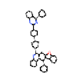 c1ccc(-c2nc(-c3ccc(-c4ccc(-c5nc6ccccc6c6c(-c7ccccc7)c7c(cc56)oc5ccccc57)cc4)cc3)nc3ccccc23)cc1